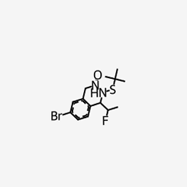 CC(F)C(NSC(C)(C)C)c1ccc(Br)cc1CN=O